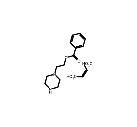 O=C(O)/C=C\C(=O)O.O=C(OCCN1CCNCC1)c1ccccc1